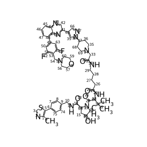 Cc1ncsc1-c1ccc(CNC(=O)[C@@H]2C[C@@H](O)CN2C(=O)[C@@H](NC(=O)CCCCNC(=O)CN2CCC(n3cc(-c4cnc5cccc(-c6cc(F)c(CN7CCOCC7)c(F)c6)c5n4)cn3)CC2)C(C)(C)C)cc1